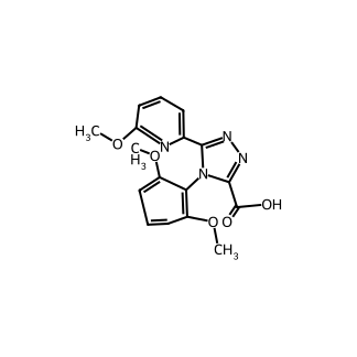 COc1cccc(-c2nnc(C(=O)O)n2-c2c(OC)cccc2OC)n1